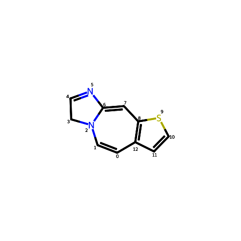 C1=CN2CC=NC2=Cc2sccc21